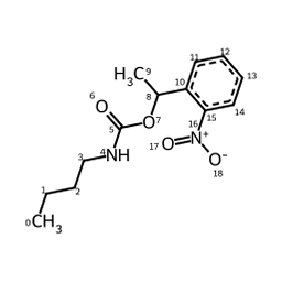 CCCCNC(=O)OC(C)c1ccccc1[N+](=O)[O-]